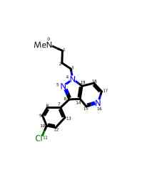 CNCCCn1nc(-c2ccc(Cl)cc2)c2cnccc21